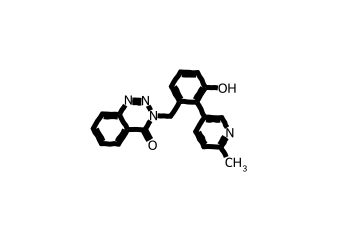 Cc1ccc(-c2c(O)cccc2Cn2nnc3ccccc3c2=O)cn1